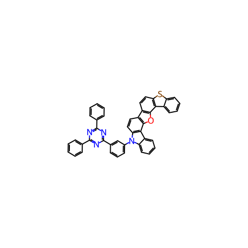 c1ccc(-c2nc(-c3ccccc3)nc(-c3cccc(-n4c5ccccc5c5c6oc7c(ccc8sc9ccccc9c87)c6ccc54)c3)n2)cc1